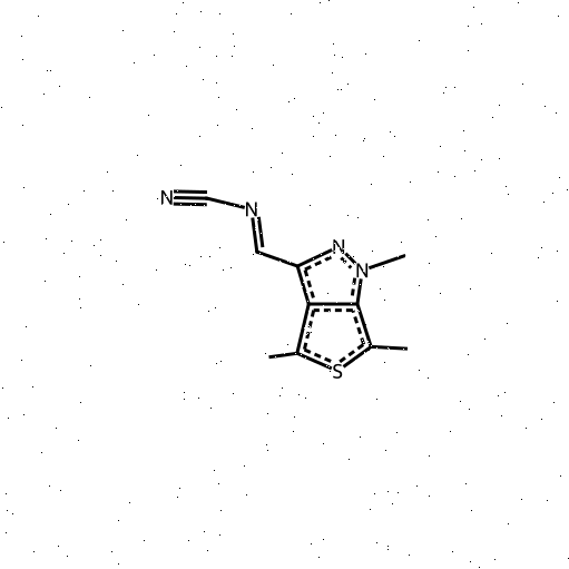 Cc1sc(C)c2c1c(/C=N/C#N)nn2C